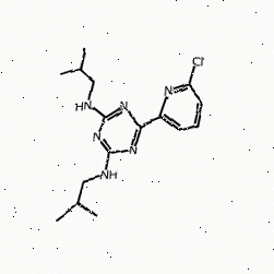 CC(C)CNc1nc(NCC(C)C)nc(-c2cccc(Cl)n2)n1